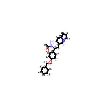 CC(=O)NC(Cc1ccc2cccn2c1)c1ccc(OCc2ccccc2)cc1